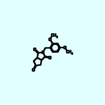 COc1ccc(CN2C(=O)C3CC(=O)CC3C2=O)c(OC)c1